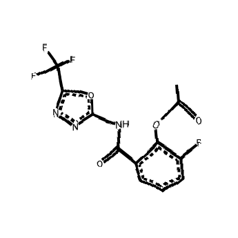 CC(=O)Oc1c(F)cccc1C(=O)Nc1nnc(C(F)(F)F)o1